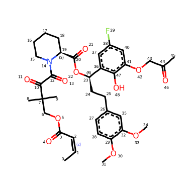 C/C=C\C(=O)OCC(C)(C)C(=O)C(=O)N1CCCC[C@H]1C(=O)O[C@H](CCc1ccc(OC)c(OC)c1)c1cc(F)cc(OCC(C)=O)c1O